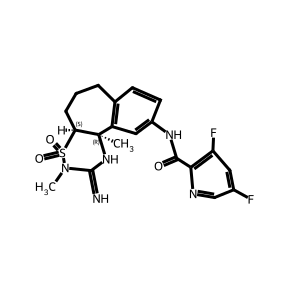 CN1C(=N)N[C@]2(C)c3cc(NC(=O)c4ncc(F)cc4F)ccc3CCC[C@@H]2S1(=O)=O